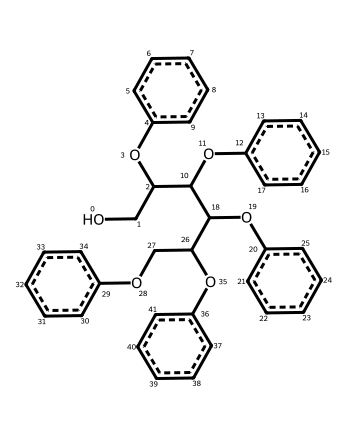 OCC(Oc1ccccc1)C(Oc1ccccc1)C(Oc1ccccc1)C(COc1ccccc1)Oc1ccccc1